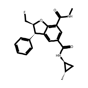 CNC(=O)c1cc(C(=O)N[C@H]2C[C@@H]2C)cc2c1O[C@H](CF)[C@H]2c1ccccc1